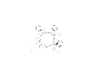 CC[C@H](C)[C@@H]1NC(=O)[C@H](CC(C)C)NC(=O)[C@H](Cc2ccccc2)N(C)C(=O)[C@H](Cc2ccccc2)NC(=O)[C@H](Cc2ccccc2)NC1=O